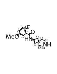 COc1ccc(F)c(C(=O)NC2CC3(CCNCC3)C2)c1